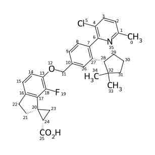 Cc1ccc(Cl)c(-c2ccc(COc3ccc4c(c3F)[C@@]3(CC4)C[C@@H]3C(=O)O)cc2[C@@H]2CCCC2(C)C)n1